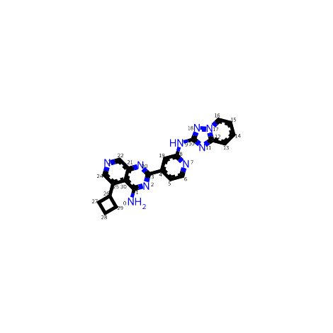 Nc1nc(-c2ccnc(Nc3nc4ccccn4n3)c2)nc2cncc(C3CCC3)c12